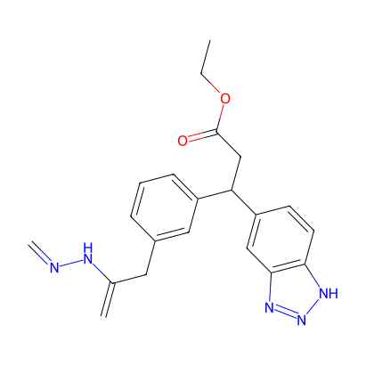 C=NNC(=C)Cc1cccc(C(CC(=O)OCC)c2ccc3[nH]nnc3c2)c1